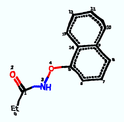 CCC(=O)NOc1cccc2ccccc12